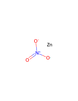 [O][N+](=O)[O-].[Zn]